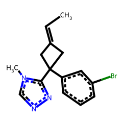 CC=C1CC(c2cccc(Br)c2)(c2nncn2C)C1